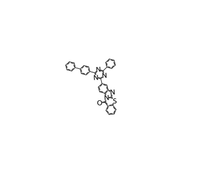 O=c1c2ccccc2sc2nc3cc(-c4nc(-c5ccccc5)nc(-c5ccc(-c6ccccc6)cc5)n4)ccc3n12